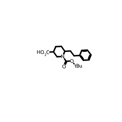 CC(C)(C)OC(=O)N1CC(C(=O)O)CCC1CCc1ccccc1